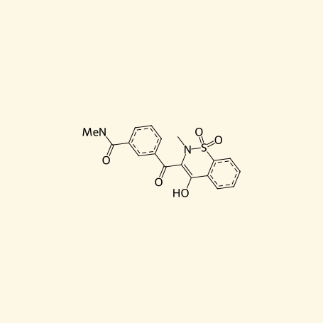 CNC(=O)c1cccc(C(=O)C2=C(O)c3ccccc3S(=O)(=O)N2C)c1